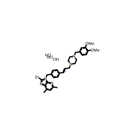 CCc1nc2c(C)cc(C)nc2n1Cc1ccc(/C=C/CN2CCN(Cc3ccc(OC)c(OC)c3)CC2)cc1.Cl.Cl.Cl